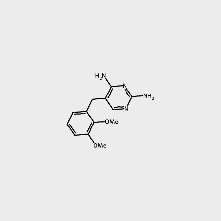 COc1cccc(Cc2cnc(N)nc2N)c1OC